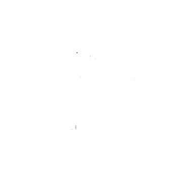 Cc1ccc(-c2nc(C3(c4ccc(Br)cc4)CCCC3)no2)cn1